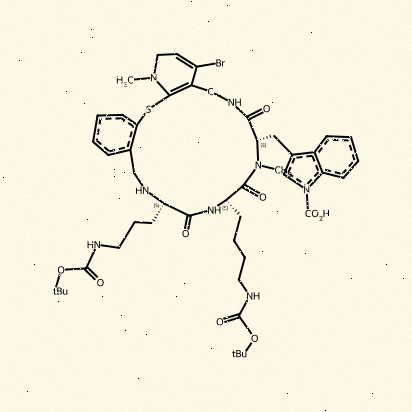 CN1CC=C(Br)C2=C1Sc1ccccc1CN[C@@H](CCCNC(=O)OC(C)(C)C)C(=O)N[C@@H](CCCCNC(=O)OC(C)(C)C)C(=O)N(C)[C@@H](Cc1cn(C(=O)O)c3ccccc13)C(=O)NC2